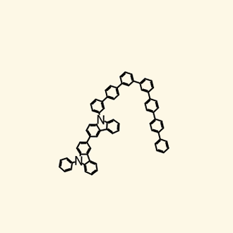 c1ccc(-c2ccc(-c3ccc(-c4cccc(-c5cccc(-c6ccc(-c7cccc(-n8c9ccccc9c9cc(-c%10ccc%11c(c%10)c%10ccccc%10n%11-c%10ccccc%10)ccc98)c7)cc6)c5)c4)cc3)cc2)cc1